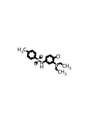 CCN(CC)c1cc(NS(=O)(=O)c2ccc(C)cc2)ccc1Cl